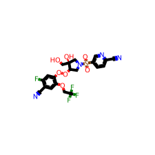 N#Cc1ccc(S(=O)(=O)N2CC(OOc3cc(F)c(C#N)cc3OCC(F)(F)F)[C@](O)(CO)C2)cn1